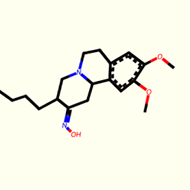 CCCCC1CN2CCc3cc(OC)c(OC)cc3C2CC1=NO